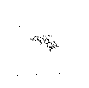 COc1cc2c(cc1NC(=O)C1CC(F)CN1)C[C@H]1C3CCCC[C@@]23CCN1C